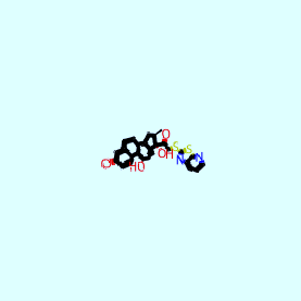 C[C@@H]1CC2C3CCC4=CC(=O)C=CC4C3[C@@H](O)CC2(C)[C@@]1(O)C(=O)CSc1nc2cccnc2s1